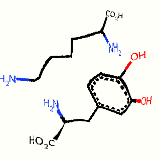 NCCCCC(N)C(=O)O.N[C@@H](Cc1ccc(O)c(O)c1)C(=O)O